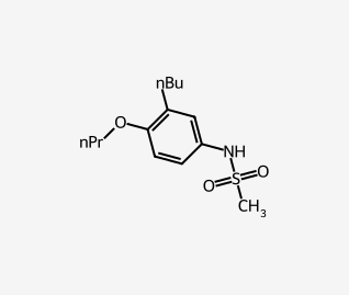 CCCCc1cc(NS(C)(=O)=O)ccc1OCCC